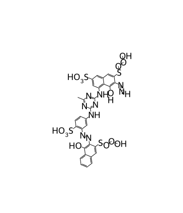 [2H]N=Nc1c(SOOO)cc2cc(S(=O)(=O)O)cc(Nc3nc(C)nc(Nc4ccc(S(=O)(=O)O)c(N=Nc5c(SOOO)cc6ccccc6c5O)c4)n3)c2c1O